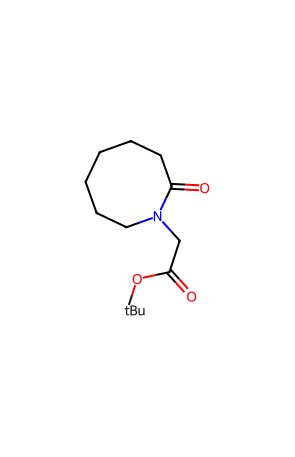 CC(C)(C)OC(=O)CN1CCCCCCC1=O